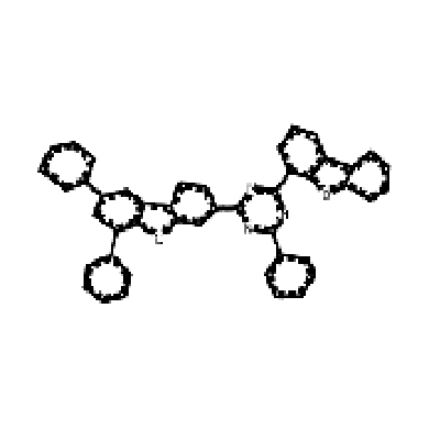 c1ccc(-c2cc(-c3ccccc3)c3oc4cc(-c5nc(-c6ccccc6)nc(-c6cccc7c6oc6ccccc67)n5)ccc4c3c2)cc1